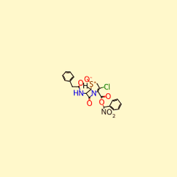 O=C(Cc1ccccc1)NC1C(=O)N2C(C(=O)OC(c3ccccc3)[N+](=O)[O-])=C(Cl)C[S+]([O-])[C@@H]12